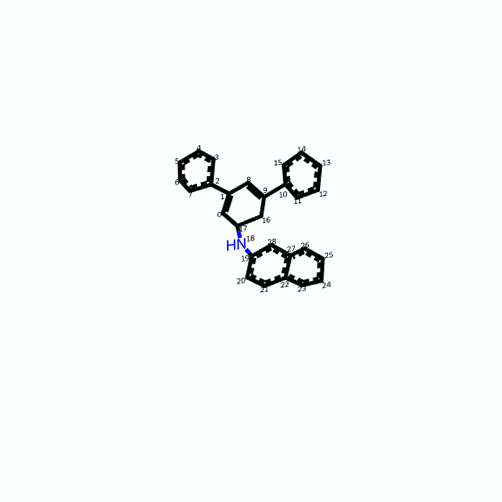 C1=C(c2ccccc2)C=C(c2ccccc2)CC1Nc1ccc2ccccc2c1